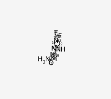 NC(=O)n1c[c]c(-c2nc3c([nH]2)CCN(CC(F)F)C3)n1